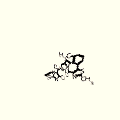 Cc1cccc(-c2sc(C)nc2C(=O)N2CCC2CNC(=O)c2c(Cl)nc3sccn23)c1